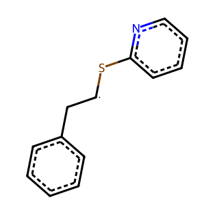 [CH](Cc1ccccc1)Sc1ccccn1